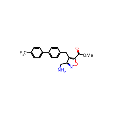 COC(=O)c1onc(CN)c1Cc1ccc(-c2ccc(C(F)(F)F)cc2)cc1